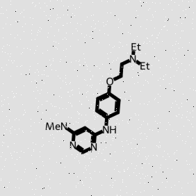 CCN(CC)CCOc1ccc(Nc2cc(NC)ncn2)cc1